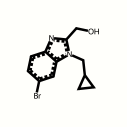 OCc1nc2ccc(Br)cc2n1CC1CC1